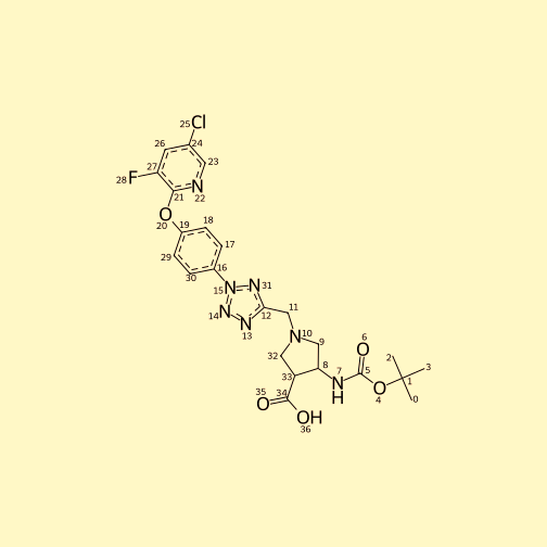 CC(C)(C)OC(=O)NC1CN(Cc2nnn(-c3ccc(Oc4ncc(Cl)cc4F)cc3)n2)CC1C(=O)O